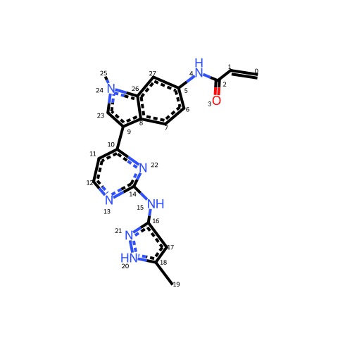 C=CC(=O)Nc1ccc2c(-c3ccnc(Nc4cc(C)[nH]n4)n3)cn(C)c2c1